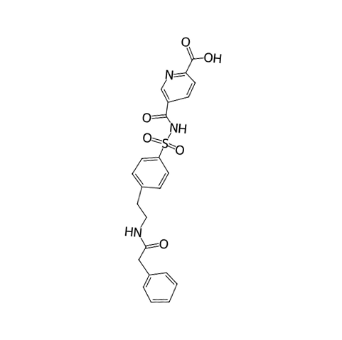 O=C(Cc1ccccc1)NCCc1ccc(S(=O)(=O)NC(=O)c2ccc(C(=O)O)nc2)cc1